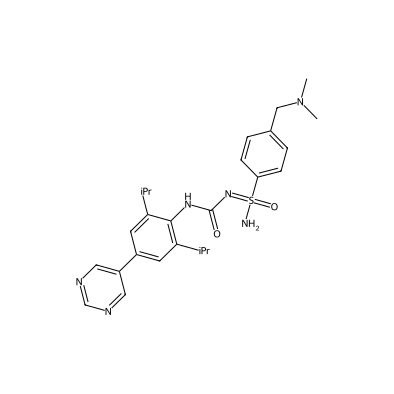 CC(C)c1cc(-c2cncnc2)cc(C(C)C)c1NC(=O)N=S(N)(=O)c1ccc(CN(C)C)cc1